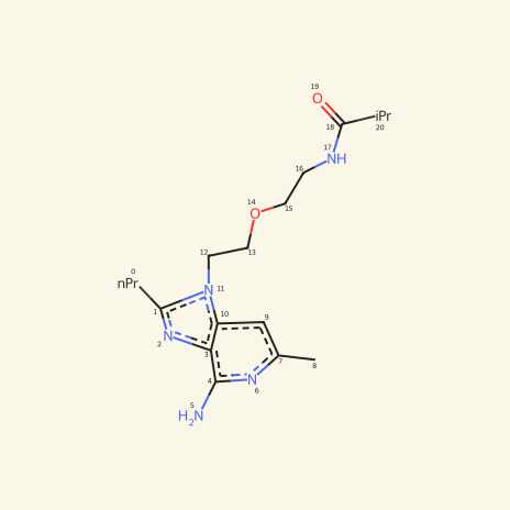 CCCc1nc2c(N)nc(C)cc2n1CCOCCNC(=O)C(C)C